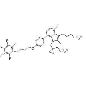 Cc1c(CCCC(=O)O)c2c(F)ccc(-c3ccc(OCCCCc4c(F)c(F)c(F)c(F)c4F)cc3)c2n1CC1(CC(=O)O)CC1